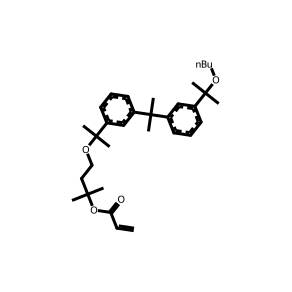 C=CC(=O)OC(C)(C)CCOC(C)(C)c1cccc(C(C)(C)c2cccc(C(C)(C)OCCCC)c2)c1